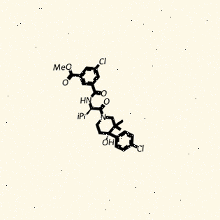 COC(=O)c1cc(Cl)cc(C(=O)N[C@@H](C(=O)N2CC[C@](O)(c3ccc(Cl)cc3)C(C)(C)C2)C(C)C)c1